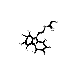 [2H]c1c([2H])c([2H])c2c(c1[2H])c(CCNC(=O)CCl)c1n2C([2H])C([2H])C([2H])C1[2H]